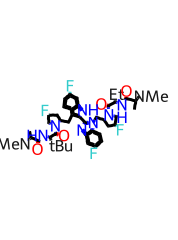 CCC(NC(=O)C(C)NC)C(=O)N1CC(F)CC1Cn1c(-c2[nH]c3cc(F)ccc3c2CC2CC(F)CN2C(=O)C(NC(=O)C(C)NC)C(C)(C)C)nc2cc(F)ccc21